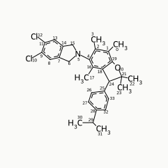 Cc1c(C)c(N2Cc3cc(Cl)c(Cl)cc3C2)c(C)c2c1OC(C)(C)C2c1ccc(C(C)C)cc1